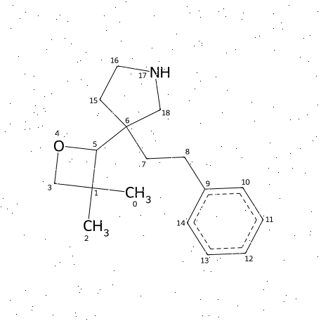 CC1(C)COC1C1(CCc2ccccc2)CCNC1